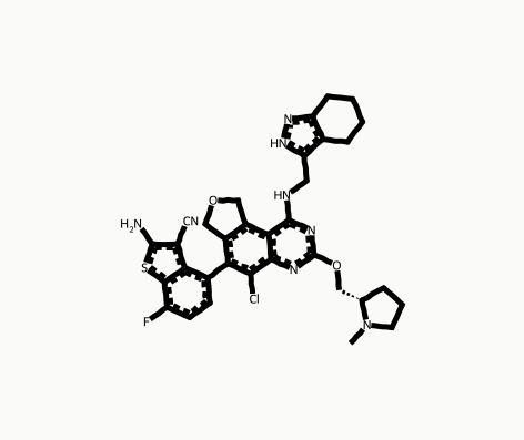 CN1CCC[C@H]1COc1nc(NCc2[nH]nc3c2CCCC3)c2c3c(c(-c4ccc(F)c5sc(N)c(C#N)c45)c(Cl)c2n1)COC3